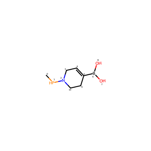 CPN1CC=C(B(O)O)CC1